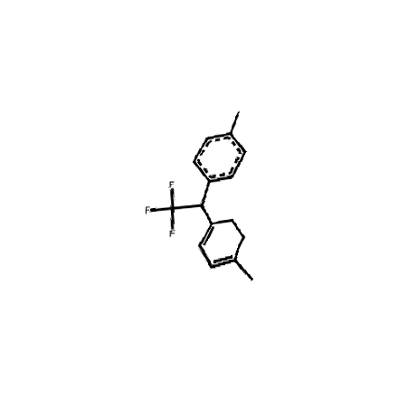 CC1=CC=C(C(c2ccc(C)cc2)C(F)(F)F)CC1